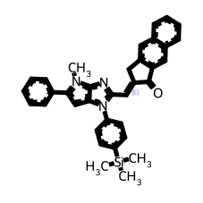 Cn1c(-c2ccccc2)cc2c1nc(/C=C1\Cc3cc4ccccc4cc3C1=O)n2-c1ccc([Si](C)(C)C)cc1